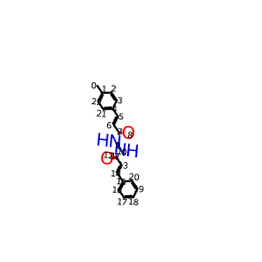 Cc1ccc(C=CC(=O)NNC(=O)C=Cc2ccccc2)cc1